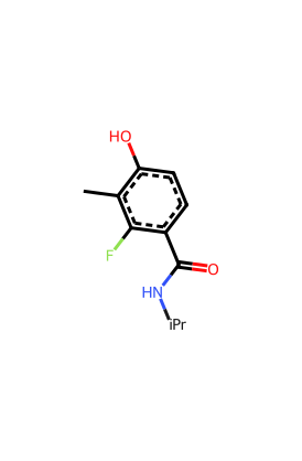 Cc1c(O)ccc(C(=O)NC(C)C)c1F